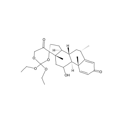 CCOC1(OCC)OCC(=O)[C@]2(CC[C@H]3[C@@H]4C[C@H](C)C5=CC(=O)C=C[C@]5(C)[C@H]4C(O)C[C@@]32C)O1